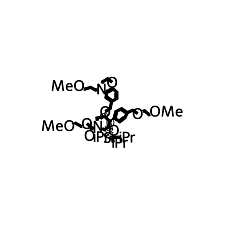 COCCCN1CCOc2ccc(CO[C@H]3CN(C(=O)OCCOC)C[C@@H](O[Si](C(C)C)(C(C)C)C(C)C)[C@@H]3c3ccc(COCCOC)cc3)cc21